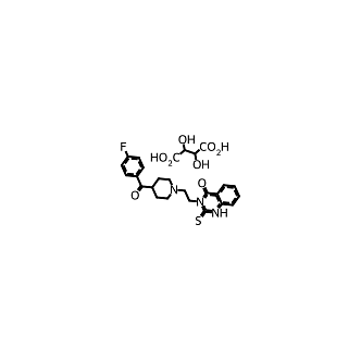 O=C(O)C(O)C(O)C(=O)O.O=C(c1ccc(F)cc1)C1CCN(CCn2c(=S)[nH]c3ccccc3c2=O)CC1